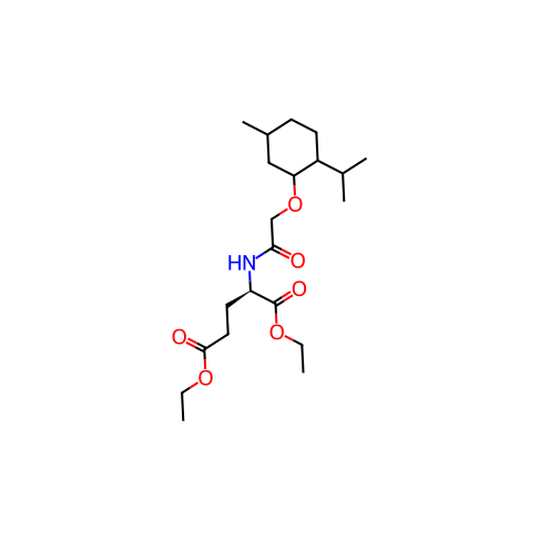 CCOC(=O)CC[C@@H](NC(=O)COC1CC(C)CCC1C(C)C)C(=O)OCC